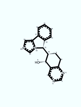 O[C@H]1c2cncnc2CC[C@H]1[C@H]1c2ccccc2-c2cncn21